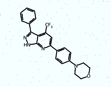 FC(F)(F)c1cc(-c2ccc(N3CCOCC3)cc2)nc2[nH]nc(-c3ccccc3)c12